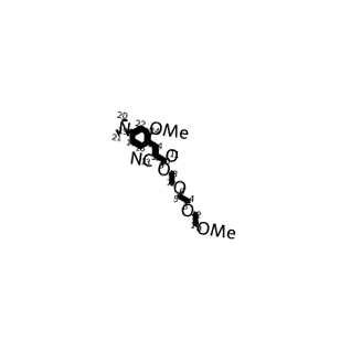 COCCOCCOCCOC(=O)/C(C#N)=C/c1ccc(N(C)C)cc1OC